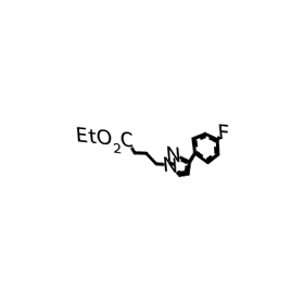 CCOC(=O)CCCn1ccc(-c2ccc(F)cc2)n1